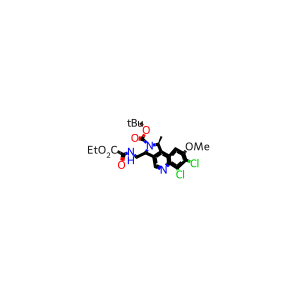 CCOC(=O)C(=O)NCC1c2cnc3c(Cl)c(Cl)c(OC)cc3c2[C@H](C)N1C(=O)OC(C)(C)C